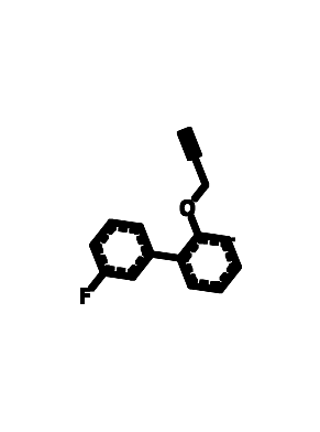 C#CCOc1[c]cccc1-c1cccc(F)c1